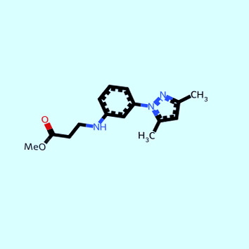 COC(=O)CCNc1cccc(-n2nc(C)cc2C)c1